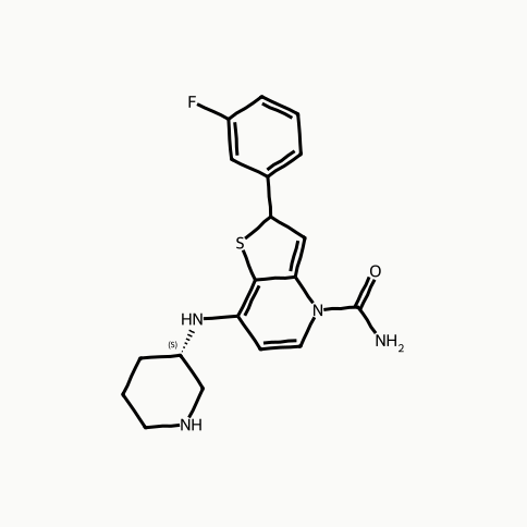 NC(=O)N1C=CC(N[C@H]2CCCNC2)=C2SC(c3cccc(F)c3)C=C21